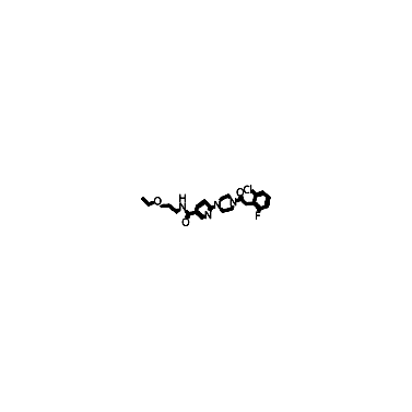 CCOCCCNC(=O)c1ccc(N2CCN(C(=O)Cc3c(F)cccc3Cl)CC2)nc1